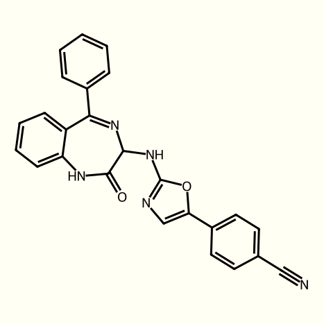 N#Cc1ccc(-c2cnc(NC3N=C(c4ccccc4)c4ccccc4NC3=O)o2)cc1